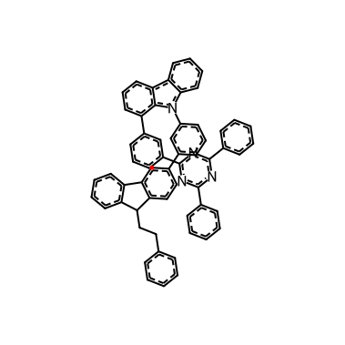 c1ccc(CCC2c3ccccc3-c3cc(-c4cccc(-n5c6ccccc6c6cccc(-c7cccc(-c8nc(-c9ccccc9)nc(-c9ccccc9)n8)c7)c65)c4)ccc32)cc1